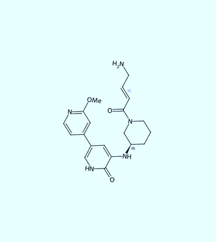 COc1cc(-c2c[nH]c(=O)c(N[C@@H]3CCCN(C(=O)/C=C/CN)C3)c2)ccn1